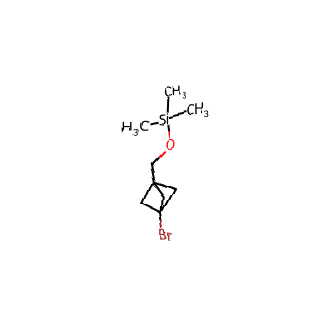 C[Si](C)(C)OCC12CC(Br)(C1)C2